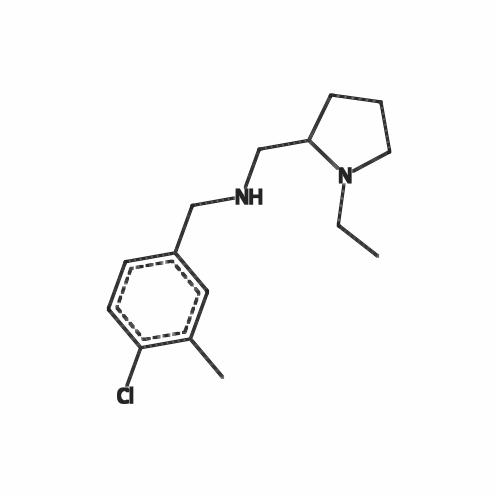 CCN1CCCC1CNCc1ccc(Cl)c(C)c1